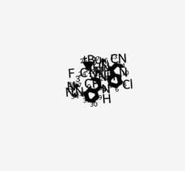 Cc1c([C@H](Nc2cc(Cl)c3ncc(C#N)c(NCC(C)(C)C)c3c2)C2=CN(C3(C(F)(F)F)CC3)NN2)cccc1-n1cnnc1